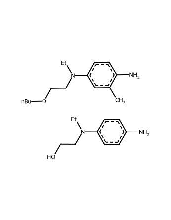 CCCCOCCN(CC)c1ccc(N)c(C)c1.CCN(CCO)c1ccc(N)cc1